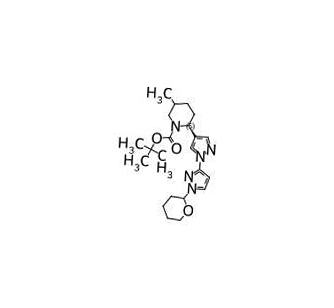 CC1CC[C@@H](c2cnn(-c3ccn(C4CCCCO4)n3)c2)N(C(=O)OC(C)(C)C)C1